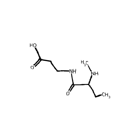 CCC(NC)C(=O)NCCC(=O)O